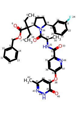 CCC(CC)(C(=O)OCc1ccccc1)[C@H]1CC[C@@H](c2cccc(F)c2)N1C(=O)[C@@H](C)NC(=O)c1ccc(Oc2cc(C)n[nH]c2=O)cn1